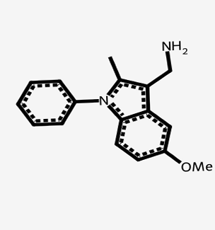 COc1ccc2c(c1)c(CN)c(C)n2-c1ccccc1